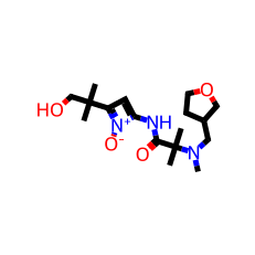 CN(CC1CCOC1)C(C)(C)C(=O)NC1=CC(C(C)(C)CO)=[N+]1[O-]